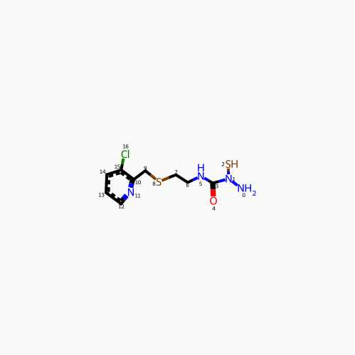 NN(S)C(=O)NCCSCc1ncccc1Cl